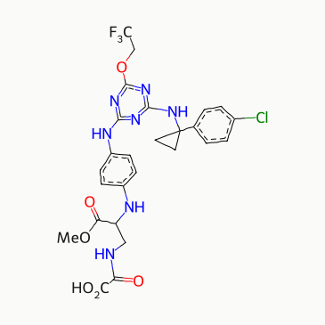 COC(=O)C(CNC(=O)C(=O)O)Nc1ccc(Nc2nc(NC3(c4ccc(Cl)cc4)CC3)nc(OCC(F)(F)F)n2)cc1